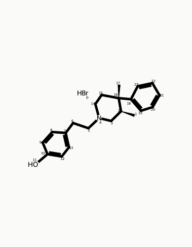 Br.C[C@H]1CN(CCc2ccc(O)cc2)CC[C@]1(C)c1ccccc1